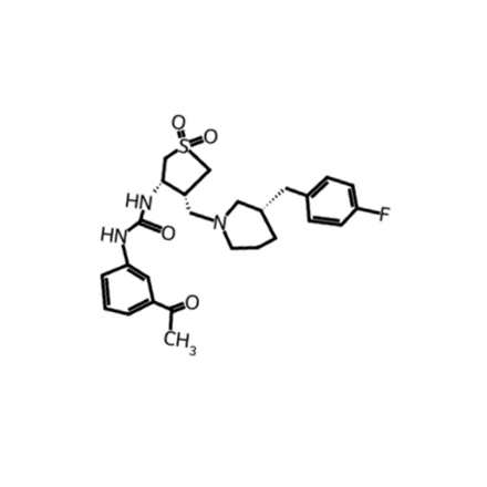 CC(=O)c1cccc(NC(=O)N[C@@H]2CS(=O)(=O)C[C@@H]2CN2CCC[C@@H](Cc3ccc(F)cc3)C2)c1